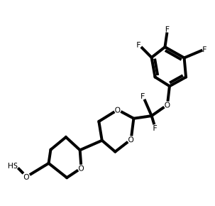 Fc1cc(OC(F)(F)C2OCC(C3CCC(OS)CO3)CO2)cc(F)c1F